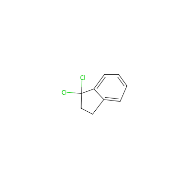 ClC1(Cl)CCc2ccccc21